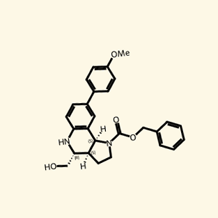 COc1ccc(-c2ccc3c(c2)[C@@H]2[C@@H](CCN2C(=O)OCc2ccccc2)[C@H](CO)N3)cc1